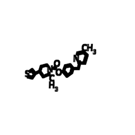 Cc1ccc(Cc2ccc(OC(=O)N3CCC(c4ccsc4)CC3C)cc2)nc1